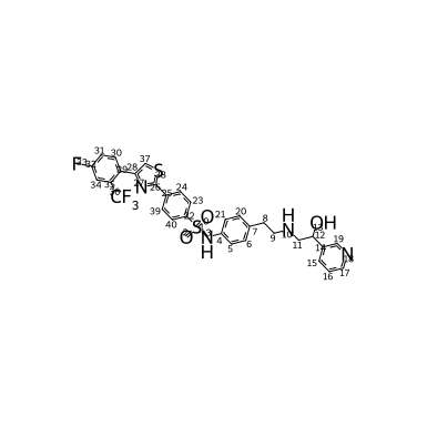 O=S(=O)(Nc1ccc(CCNCC(O)c2cccnc2)cc1)c1ccc(-c2nc(-c3ccc(F)cc3C(F)(F)F)cs2)cc1